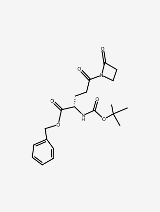 CC(C)(C)OC(=O)N[C@@H](CCC(=O)N1CCC1=O)C(=O)OCc1ccccc1